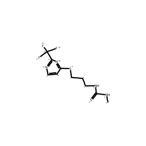 CNC(=S)NCCCSc1ccnc(C(F)(F)F)n1